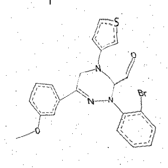 COc1cccc(C2=NN(c3ccccc3Br)C(C=O)N(c3ccsc3)C2)c1